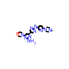 CN1CCN(c2ccc(N(C)c3ncc(-c4cc(N5CCOCC5)nc(N)n4)cn3)cn2)CC1